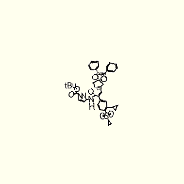 CC(C)(C)OC(=O)n1ccc(NC(=O)C(=C[C@H]2CCC3(C2)O[C@H](c2ccccc2)[C@@H](c2ccccc2)O3)c2ccc(S(=O)(=O)C3CC3)c(C3CC3)c2)n1